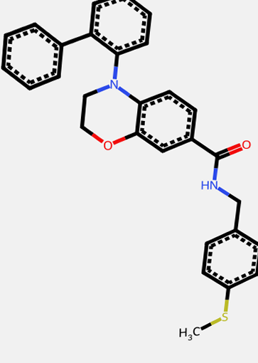 CSc1ccc(CNC(=O)c2ccc3c(c2)OCCN3c2ccccc2-c2ccccc2)cc1